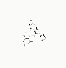 CC(C)(C)NC(=O)C1=C(NC(=O)c2cc(Cn3nnnc3C(F)(F)C(F)(F)F)nn2-c2ncccc2Cl)C(Cl)=CC(Cl)C1